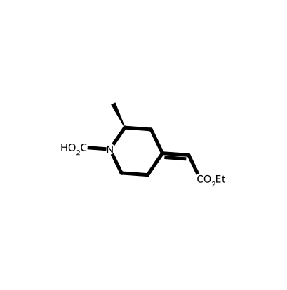 CCOC(=O)C=C1CCN(C(=O)O)[C@@H](C)C1